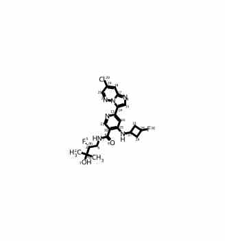 CC(C)(O)[C@H](F)CNC(=O)c1cnc(-c2cnc3cc(Cl)cnn23)cc1NC1CC(F)C1